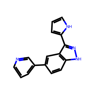 c1cncc(-c2ccc3[nH]nc(-c4ccc[nH]4)c3c2)c1